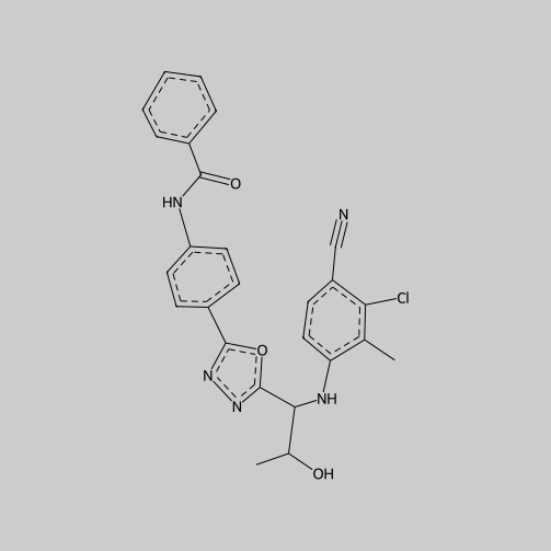 Cc1c(NC(c2nnc(-c3ccc(NC(=O)c4ccccc4)cc3)o2)C(C)O)ccc(C#N)c1Cl